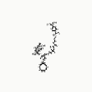 CC(C)(CNC(=O)CCCCNC(=O)c1ccc(B(O)O)cc1)SSCOC1C[C@H](C2c3ccccccccc32)O[C@@H]1COP(=O)(O)OP(=O)(O)OP(=O)(O)O